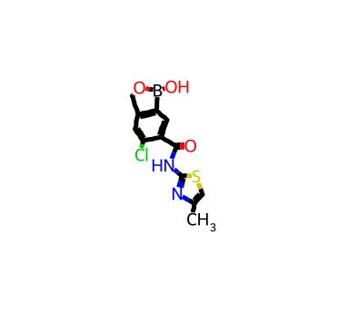 Cc1csc(NC(=O)c2cc3c(cc2Cl)COB3O)n1